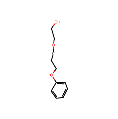 OCCOCCCOc1ccccc1